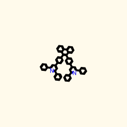 c1cccc(-c2cc(-c3ccc(-c4c(-c5ccc(-c6cc(-c7ccccc7)nc(-c7ccccc7)c6)cc5)c5ccccc5c5ccccc45)cc3)cc(-c3ccccc3)n2)c#1